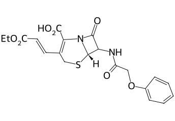 CCOC(=O)C=CC1=C(C(=O)O)N2C(=O)C(NC(=O)COc3ccccc3)[C@@H]2SC1